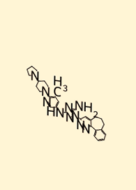 Cc1cc(Nc2nc(N)n(-c3cc4c(nn3)-c3ccccc3CCC4)n2)cnc1N1CCC(N2CCCC2)CC1